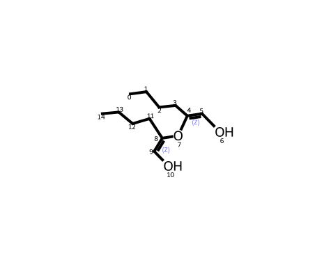 CCCC/C(=C/O)O/C(=C\O)CCCC